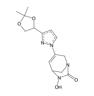 CC1(C)OCC(c2ccn(C3=CC4CN(C3)C(=O)N4O)n2)O1